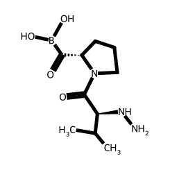 CC(C)[C@H](NN)C(=O)N1CCC[C@H]1C(=O)B(O)O